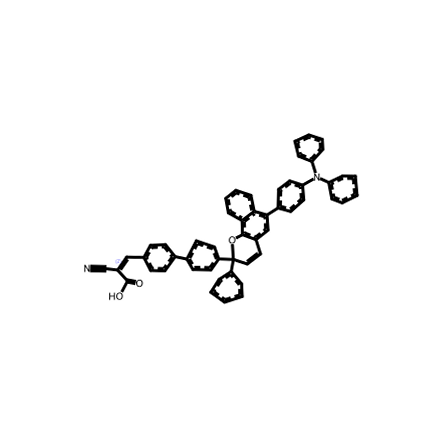 N#C/C(=C/c1ccc(-c2ccc(C3(c4ccccc4)C=Cc4cc(-c5ccc(N(c6ccccc6)c6ccccc6)cc5)c5ccccc5c4O3)cc2)cc1)C(=O)O